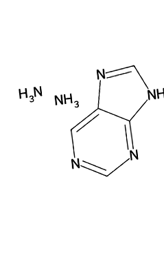 N.N.c1ncc2nc[nH]c2n1